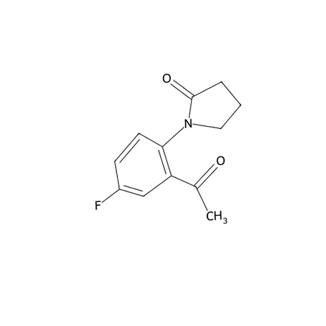 CC(=O)c1cc(F)ccc1N1CCCC1=O